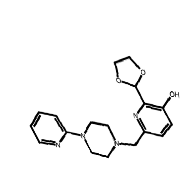 Oc1ccc(CN2CCN(c3ccccn3)CC2)nc1C1OCCO1